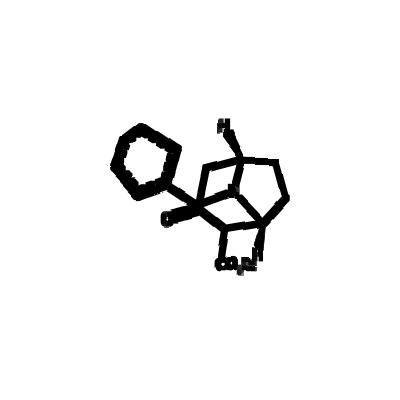 CCOC(=O)C1C(=O)C[C@@H]2CC[C@H]1N2Cc1ccccc1